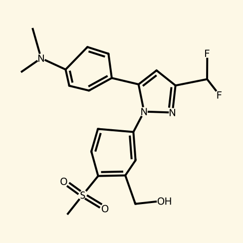 CN(C)c1ccc(-c2cc(C(F)F)nn2-c2ccc(S(C)(=O)=O)c(CO)c2)cc1